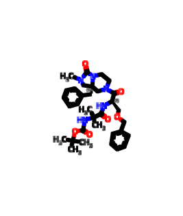 CN1C[C@]2(Cc3ccccc3)CN(C(=O)[C@@H](COCc3ccccc3)NC(=O)C(C)(C)NC(=O)OC(C)(C)C)CCN2C1=O